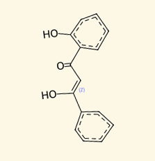 O=C(/C=C(\O)c1ccccc1)c1ccccc1O